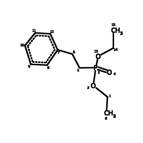 CCOP(=O)(CCc1ccccc1)OCC